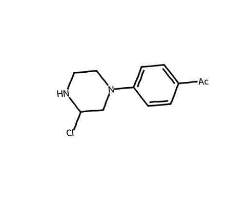 CC(=O)c1ccc(N2CCNC(Cl)C2)cc1